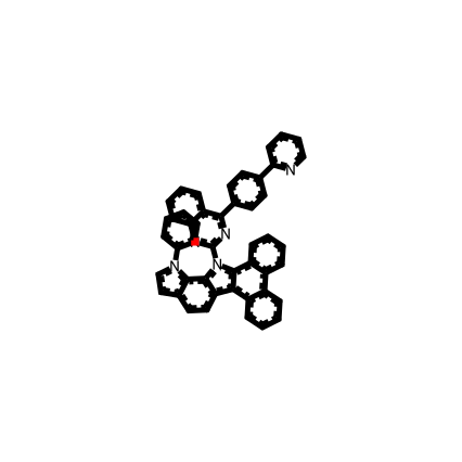 c1ccc(-n2ccc3ccc4c5c6ccccc6c6ccccc6c5n(-c5nc(-c6ccc(-c7ccccn7)cc6)c6ccccc6n5)c4c32)cc1